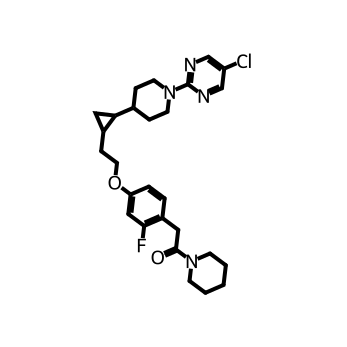 O=C(Cc1ccc(OCCC2CC2C2CCN(c3ncc(Cl)cn3)CC2)cc1F)N1CCCCC1